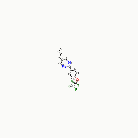 CCCCc1cnc(-c2ccc(OC(F)(F)C(F)F)cc2)nc1